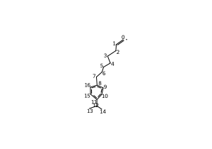 [CH]=CCCCCCCc1ccc(C(C)C)cc1